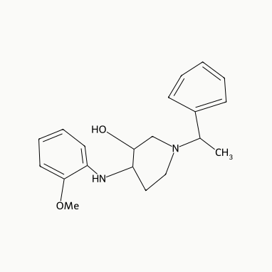 COc1ccccc1NC1CCN(C(C)c2ccccc2)CC1O